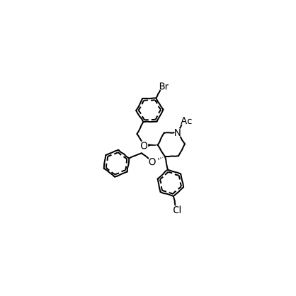 CC(=O)N1CC[C@@](OCc2ccccc2)(c2ccc(Cl)cc2)[C@@H](OCc2ccc(Br)cc2)C1